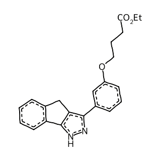 CCOC(=O)CCCOc1cccc(-c2n[nH]c3c2Cc2ccccc2-3)c1